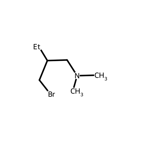 CCC(CBr)CN(C)C